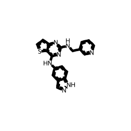 c1cncc(CNc2nc(Nc3ccc4[nH]ncc4c3)c3sccc3n2)c1